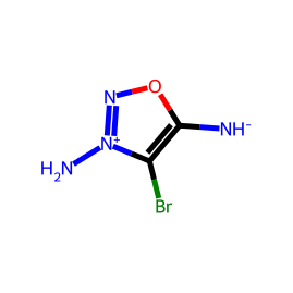 [NH-]c1on[n+](N)c1Br